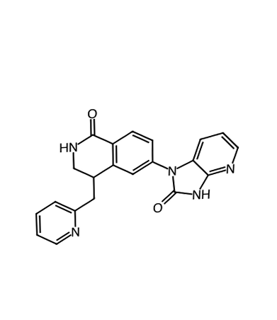 O=C1NCC(Cc2ccccn2)c2cc(-n3c(=O)[nH]c4ncccc43)ccc21